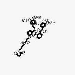 CC[C@H](C(=O)C1CCCC[C@H]1C(=O)O[C@H](CCc1ccc(OC)c(OC)c1)c1cccc(OCC(=O)NCCCCN2C(=O)CCC2=O)c1)c1cc(OC)c(OC)c(OC)c1